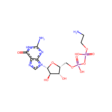 NCCOP(=O)(O)OP(=O)(O)OC[C@H]1O[C@@H](n2cnc3c(=O)[nH]c(N)nc32)[C@H](O)[C@H]1O